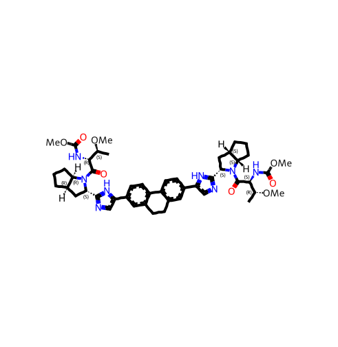 COC(=O)N[C@H](C(=O)N1[C@H](c2ncc(-c3ccc4c(c3)CCc3cc(-c5cnc([C@@H]6C[C@H]7CCC[C@H]7N6C(=O)[C@H](NC(=O)OC)[C@H](C)OC)[nH]5)ccc3-4)[nH]2)C[C@@H]2CCC[C@@H]21)[C@@H](C)OC